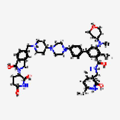 CCN(c1cc(-c2ccc(N3CCN(C4CCN(Cc5ccc6c(c5)CN(C5CCC(=O)NC5=O)C6=O)CC4)CC3)cc2)cc(C(=O)NCc2c(C)cc(C)[nH]c2=O)c1C)C1CCOCC1